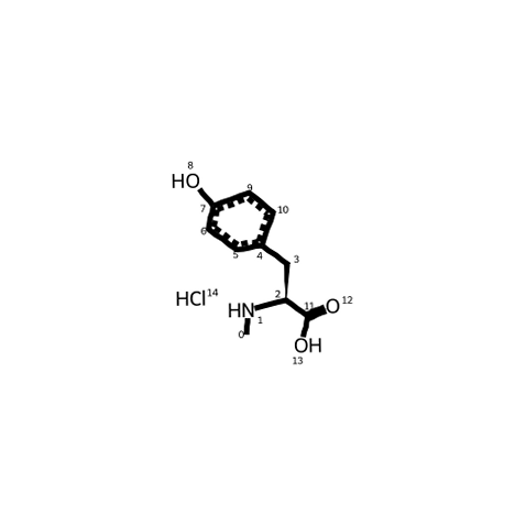 CN[C@@H](Cc1ccc(O)cc1)C(=O)O.Cl